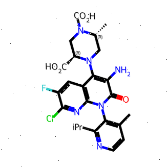 Cc1ccnc(C(C)C)c1-n1c(=O)c(N)c(N2C[C@@H](C)N(C(=O)O)C[C@@H]2C(=O)O)c2cc(F)c(Cl)nc21